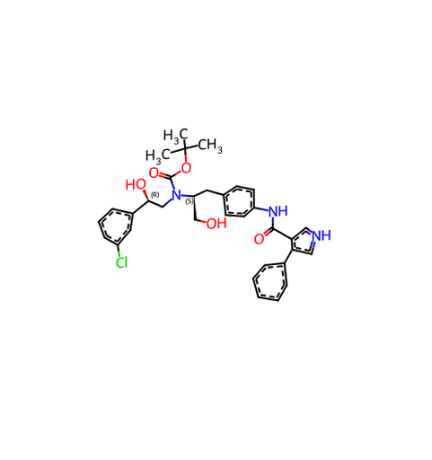 CC(C)(C)OC(=O)N(C[C@H](O)c1cccc(Cl)c1)[C@H](CO)Cc1ccc(NC(=O)c2c[nH]cc2-c2ccccc2)cc1